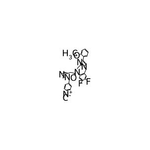 [C-]#[N+]c1ccc(Cn2cncc2CC(=O)N2Cc3nc(-c4ccccc4OC)cn3Cc3cc(F)c(F)cc32)cc1